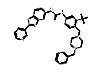 O=C(Nc1ccc(CN2CCN(Cc3ccccc3)CC2)c(C(F)(F)F)c1)Nc1ccc2oc(-c3cccnc3)nc2c1